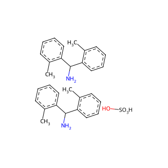 Cc1ccccc1C(N)c1ccccc1C.Cc1ccccc1C(N)c1ccccc1C.O=S(=O)(O)O